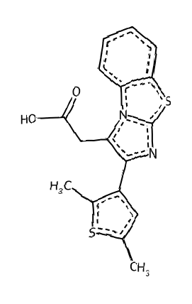 Cc1cc(-c2nc3sc4ccccc4n3c2CC(=O)O)c(C)s1